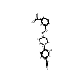 CC(=O)c1cccc(OCC2CCN(c3ccc(C#N)cn3)CC2)c1